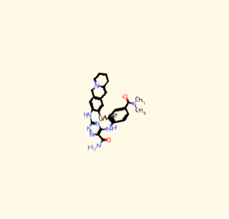 COc1cc2c(cc1Nc1nnc(C(N)=O)c(Nc3ccc(C(=O)N(C)C)cc3)n1)CN1CCCCC1C2